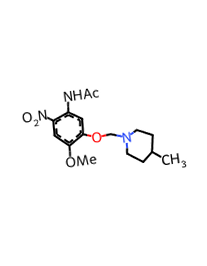 COc1cc([N+](=O)[O-])c(NC(C)=O)cc1OCN1CCC(C)CC1